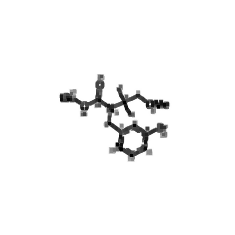 COCC(C)(C)N(Cc1cc(Br)ccn1)C(=O)OC(C)(C)C